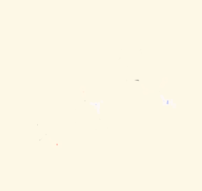 C[C@](O)(c1ccc(C(=O)N(C2CC2)[C@H]2CC[C@@](COC(N)=O)(c3ccccc3)CC2)cc1)C(F)(F)F